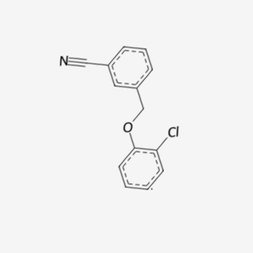 N#Cc1cccc(COc2cc[c]cc2Cl)c1